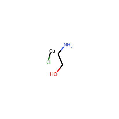 NCCO.[Cl][Cu]